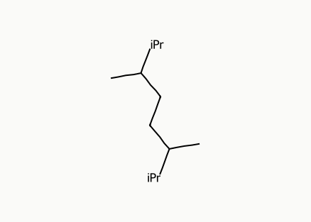 CC(C)C(C)CCC(C)C(C)C